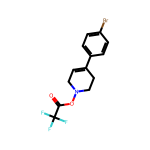 O=C(ON1CC=C(c2ccc(Br)cc2)CC1)C(F)(F)F